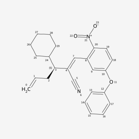 C=CC[C@H](C(C#N)=Cc1cc(Oc2ccccc2)ccc1[N+](=O)[O-])C1CCCCC1